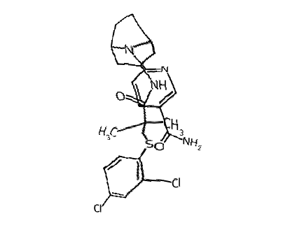 CC(C)(Sc1ccc(Cl)cc1Cl)C(=O)NC1CC2CCC(C1)N2c1ccc(C(N)=O)cn1